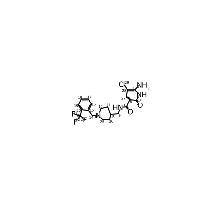 Nc1[nH]c(=O)c(C(=O)NCC2CCN(Cc3ccccc3C(F)(F)F)CC2)cc1Cl